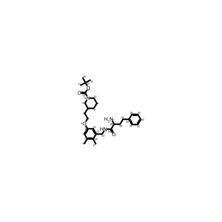 Cc1cc(OCCC2CCCN(C(=O)OC(C)(C)C)C2)cc(CNC(=O)C(N)CCc2ccccc2)c1C